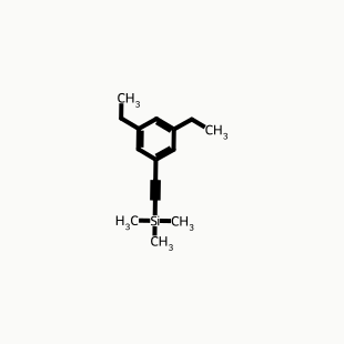 CCc1cc(C#C[Si](C)(C)C)cc(CC)c1